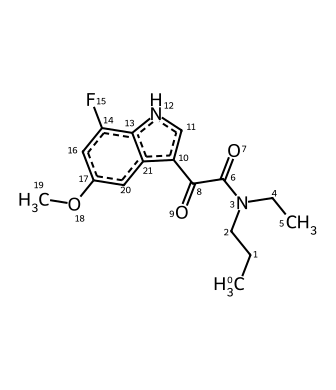 CCCN(CC)C(=O)C(=O)c1c[nH]c2c(F)cc(OC)cc12